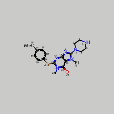 CCn1c(N2CCNCC2)nc2nc(Sc3ccc(OC)cc3)n(C)c(=O)c21